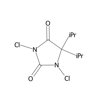 CC(C)C1(C(C)C)C(=O)N(Cl)C(=O)N1Cl